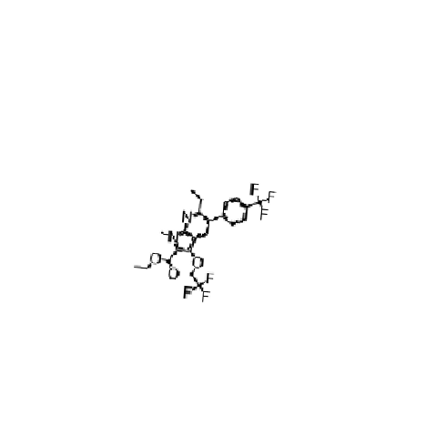 CCOC(=O)c1c(OCC(F)(F)F)c2cc(-c3ccc(C(F)(F)F)cc3)c(CC)nc2n1C